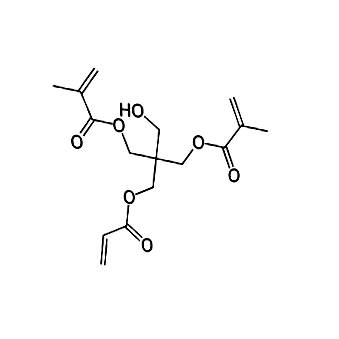 C=CC(=O)OCC(CO)(COC(=O)C(=C)C)COC(=O)C(=C)C